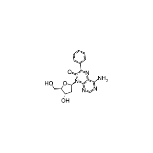 Nc1ncnc2c1nc(-c1ccccc1)c(=O)n2[C@H]1C[C@H](O)[C@@H](CO)O1